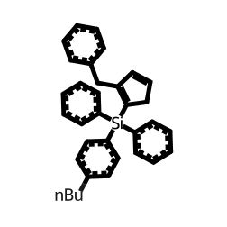 CCCCc1ccc([Si](C2=C(Cc3ccccc3)C=CC2)(c2ccccc2)c2ccccc2)cc1